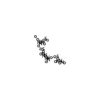 c1ccc(-c2ccc(-c3nc(-c4cccc(-c5ccc6c(c5)sc5ccc7c(c8ccccc8n7-c7ncc(-c8nc(-c9ccccc9)nc(-c9ccc(-c%10ccc%11sc%12ccc%13c(c%14ccccc%14n%13-c%13cccc%14c%13ncn%14-c%13ccccc%13)c%12c%11c%10)cc9)n8)cn7)c56)c4)nc(-n4c5ccccc5c5c6c(ccc54)sc4ccccc46)n3)cc2)cc1